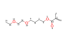 C=C(C)C(=O)OCCCCOCCOCC